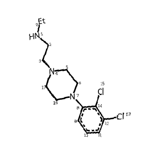 CCNCCN1CCN(c2cccc(Cl)c2Cl)CC1